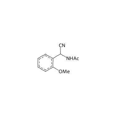 COc1ccccc1C(C#N)NC(C)=O